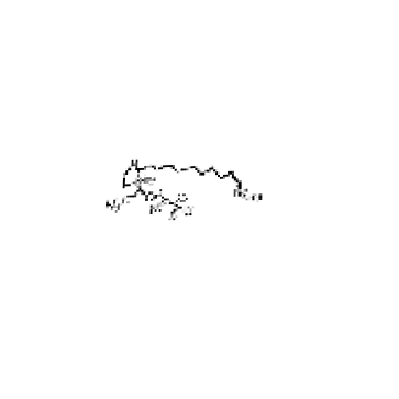 CCCCCCCC/C=C\CCCCCCCCC1=NCC[N+]1(CC)C(C)O.CCOS(=O)(=O)[O-]